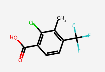 Cc1c(C(F)(F)F)ccc(C(=O)O)c1Cl